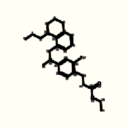 CCCN1CCCc2cccc(CN(C)c3ccc(CCC(=O)OCC)c(F)c3)c21